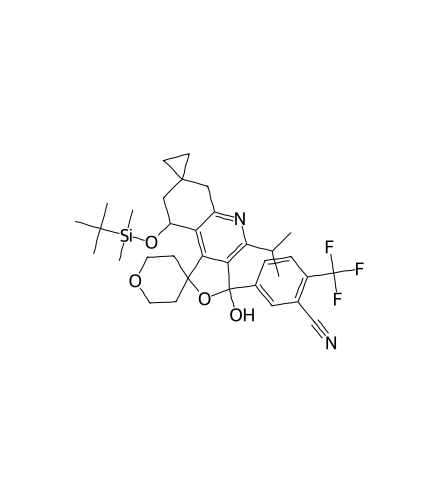 CC(C)c1nc2c(c3c1C(O)(c1ccc(C(F)(F)F)c(C#N)c1)OC31CCOCC1)C(O[Si](C)(C)C(C)(C)C)CC1(CC1)C2